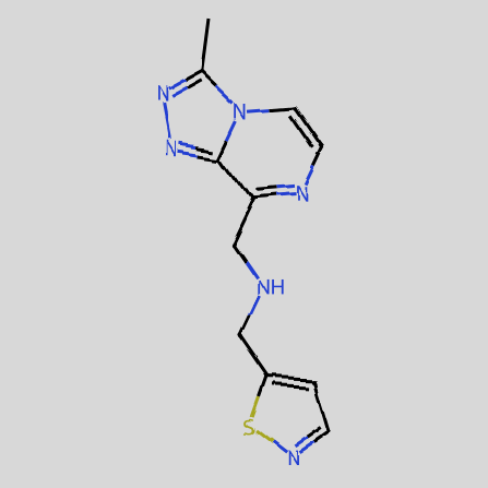 Cc1nnc2c(CNCc3ccns3)nccn12